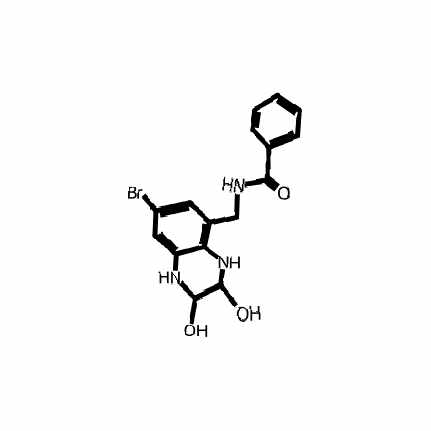 O=C(NCc1cc(Br)cc2c1NC(O)C(O)N2)c1ccccc1